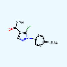 CNC(=O)c1cnn(-c2ccc(OC)cc2)c1Br